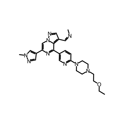 CCOCCN1CCN(c2ccc(-c3nc(-c4cnn(C)c4)cn4ncc(/C=N\C)c34)cn2)CC1